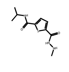 CNNC(=O)c1ccc(C(=O)NC(C)C)s1